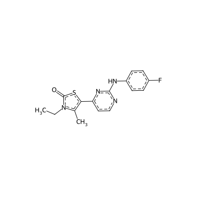 CCn1c(C)c(-c2ccnc(Nc3ccc(F)cc3)n2)sc1=O